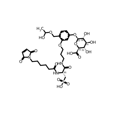 CC(O)OCc1ccc(O[C@@H]2O[C@H](C(=O)O)[C@@H](O)[C@H](O)[C@H]2O)cc1OCCCNC(=O)[C@H](CS(=O)(=O)O)NC(=O)CCCCCN1C(=O)C=CC1=O